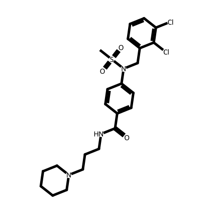 CS(=O)(=O)N(Cc1cccc(Cl)c1Cl)c1ccc(C(=O)NCCCN2CCCCC2)cc1